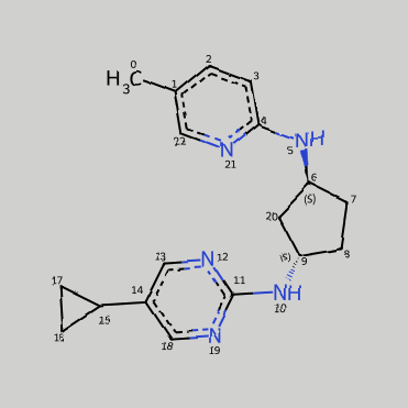 Cc1ccc(N[C@H]2CC[C@H](Nc3ncc(C4CC4)cn3)C2)nc1